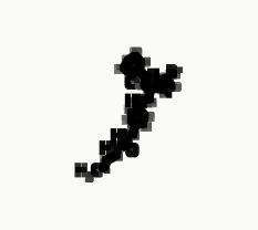 CCCCNC(=O)NCc1ccc(NCc2cc(-c3ccccc3Cl)nc3c(Br)cnn23)cc1